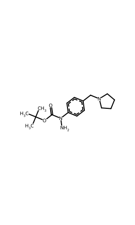 CC(C)(C)OC(=O)N(N)c1ccc(CN2CCCC2)cc1